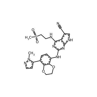 Cn1nccc1-c1ccc(Nc2nc(NCCS(C)(=O)=O)c3c(C#N)c[nH]c3n2)c2c1OCCO2